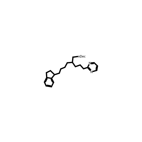 CCCCCCCCCCCC(CCCCC1CCc2ccccc21)CCCc1ncccn1